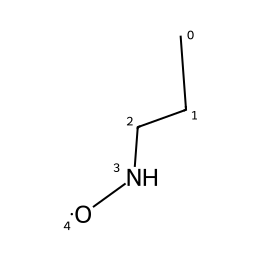 CCCN[O]